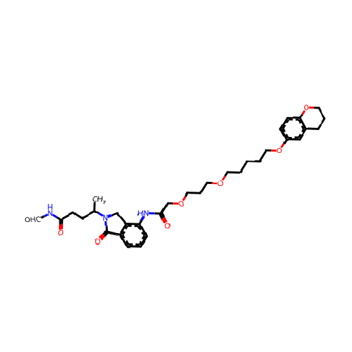 CC(CCC(=O)NC=O)N1Cc2c(NC(=O)COCCCOCCCCCOc3ccc4c(c3)CCCO4)cccc2C1=O